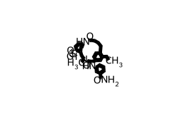 CCc1cc2ccc1CCCC(=O)Nc1ccc(S(=O)(=O)I)c(c1)CN(C)C(=O)C2Nc1cccc(C(N)=O)c1